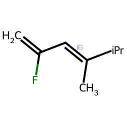 C=C(F)/C=C(\C)C(C)C